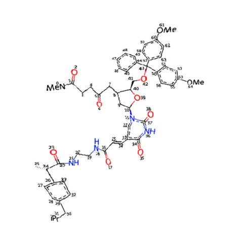 CNC(=O)CCC(=O)CC1C[C@H](n2cc(/C=C/C(=O)NCCNC(=O)[C@@H](C)c3ccc(CC(C)C)cc3)c(=O)[nH]c2=O)O[C@@H]1COC(c1ccccc1)(c1ccc(OC)cc1)c1ccc(OC)cc1